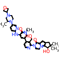 C[C@H]1CN(C2COC2)CCN1c1ccc(Nc2cc(-c3ccnc(-n4ccn5c6c(cc5c4=O)CC(C)(C)[C@H]6O)c3CO)cn(C)c2=O)nc1